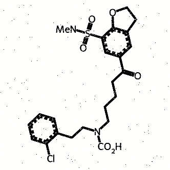 CNS(=O)(=O)c1cc(C(=O)CCCCN(CCc2ccccc2Cl)C(=O)O)cc2c1OCC2